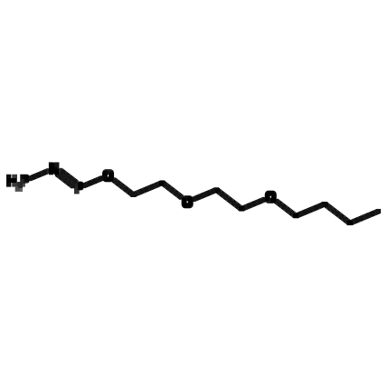 CCCCOCCOCCOP=NP